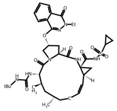 CCn1nc(O[C@@H]2C[C@H]3C(=O)N[C@]4(C(=O)NS(=O)(=O)C5CC5)C[C@H]4C=CCC[C@H](C)C[C@@H](C)[C@H](NC(=O)NC(C)(C)C)C(=O)N3C2)c2ccccc2c1=O